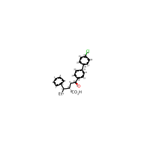 CCC(c1ccccc1)[C@H](CC(=O)c1ccc(-c2ccc(Cl)cc2)cc1)C(=O)O